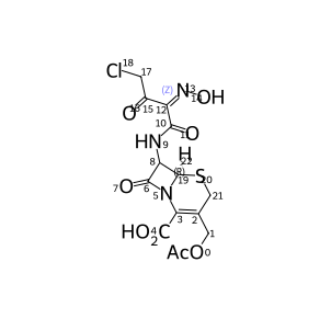 CC(=O)OCC1=C(C(=O)O)N2C(=O)C(NC(=O)/C(=N\O)C(=O)CCl)[C@H]2SC1